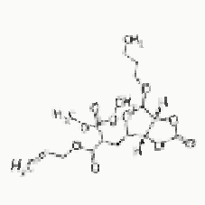 C=CCOC(=O)C(C[C@H]1O[C@@H](OCCCC)[C@@H]2OC(=O)O[C@@H]21)P(=O)(OC)OC